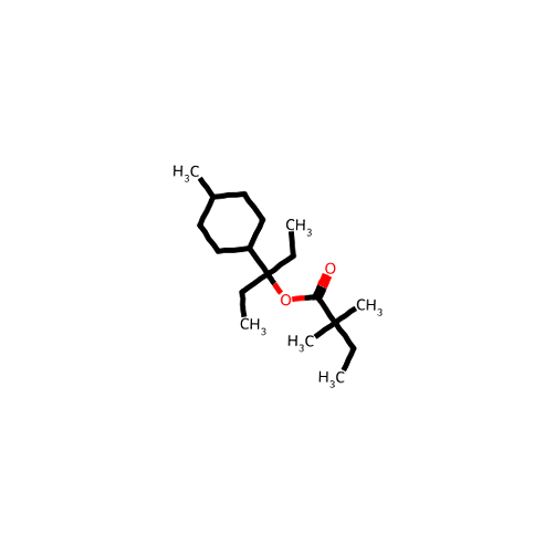 CCC(C)(C)C(=O)OC(CC)(CC)C1CCC(C)CC1